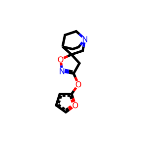 c1coc(OC2=NOC3(C2)CN2CCC3CC2)c1